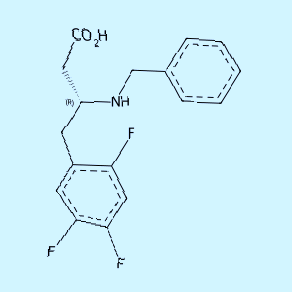 O=C(O)C[C@@H](Cc1cc(F)c(F)cc1F)NCc1ccccc1